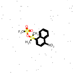 CS(C)(OS(=O)(=O)C(F)(F)F)c1ccc([N+](=O)[O-])c2ccccc12